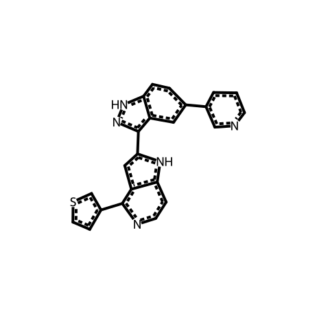 c1cncc(-c2ccc3[nH]nc(-c4cc5c(-c6ccsc6)nccc5[nH]4)c3c2)c1